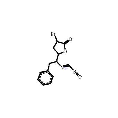 CCC1CC(C(Cc2ccccc2)/N=C/B=O)OC1=O